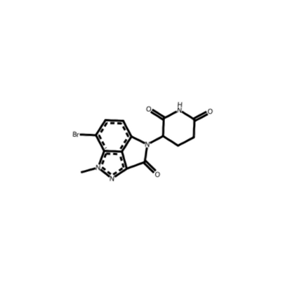 Cn1nc2c3c(ccc(Br)c31)N(C1CCC(=O)NC1=O)C2=O